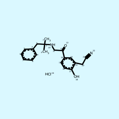 CC(C)(Cc1ccccc1)NCC(=O)c1ccc(O)c(CC#N)c1.Cl